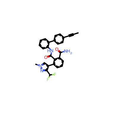 CC#Cc1ccc(-c2ccccc2NC(=O)c2c(C(N)=O)cccc2-c2cn(C)nc2C(F)F)cc1